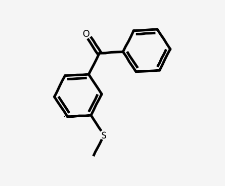 CSc1[c]ccc(C(=O)c2ccccc2)c1